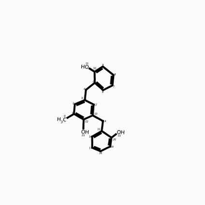 Cc1cc(Cc2ccccc2O)cc(Cc2ccccc2O)c1O